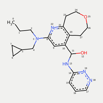 CCCN(CC1CC1)c1cc(C(O)Nc2cccnn2)c2c(n1)CCOCC2